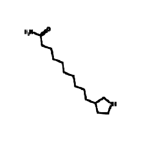 NC(=O)CCCCCCCCCC1CCNC1